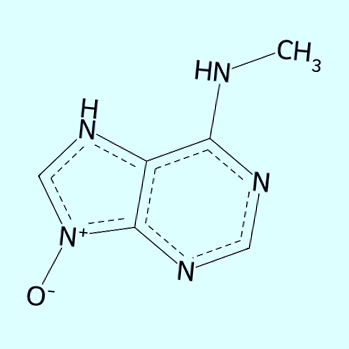 CNc1ncnc2c1[nH]c[n+]2[O-]